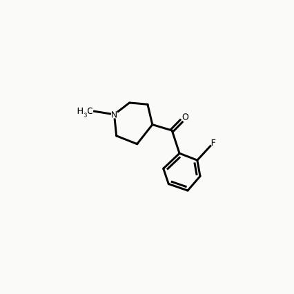 CN1CCC(C(=O)c2ccccc2F)CC1